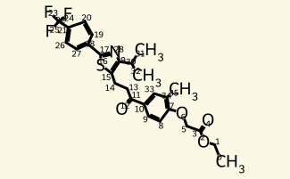 CCOC(=O)COc1ccc(C(=O)CCc2sc(-c3ccc(C(F)(F)F)cc3)nc2C(C)C)cc1C